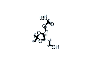 CC1(C)O[C@@H](CCO)[C@@H](COC(=O)C(C)(C)C)O1